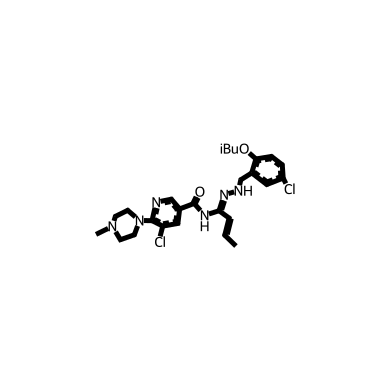 C/C=C/C(=N\NCc1cc(Cl)ccc1OCC(C)C)NC(=O)c1cnc(N2CCN(C)CC2)c(Cl)c1